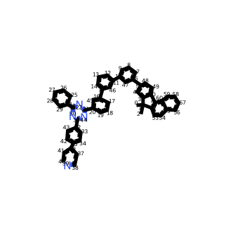 CC1(C)c2cc(-c3cccc(-c4cccc(-c5cccc(-c6nc(-c7ccccc7)nc(-c7ccc(-c8ccncc8)cc7)n6)c5)c4)c3)ccc2-c2c1ccc1ccccc21